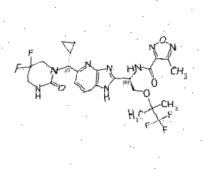 Cc1nonc1C(=O)N[C@@H](COC(C)(C)C(F)(F)F)c1nc2nc([C@@H](C3CC3)N3CC(F)(F)CNC3=O)ccc2[nH]1